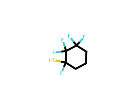 FC1(F)CCCC(F)(S)C1(F)F